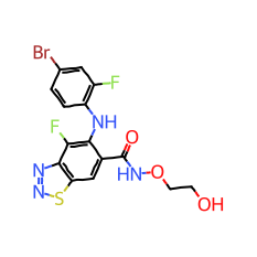 O=C(NOCCO)c1cc2snnc2c(F)c1Nc1ccc(Br)cc1F